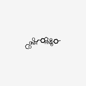 Cc1ccc(S(=O)(=O)NC2CCc3cc(/C=C/C(=O)NOC4CCCCO4)ccc32)cc1